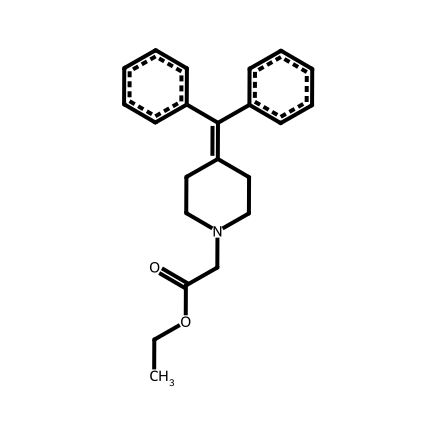 CCOC(=O)CN1CCC(=C(c2ccccc2)c2ccccc2)CC1